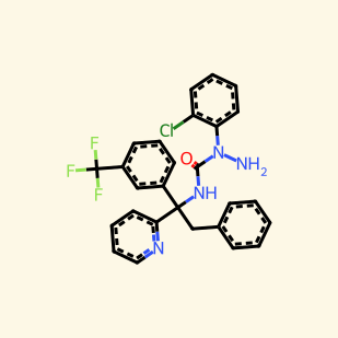 NN(C(=O)NC(Cc1ccccc1)(c1cccc(C(F)(F)F)c1)c1ccccn1)c1ccccc1Cl